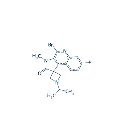 CC(C)N1CC2(C1)C(=O)N(C)c1c(Br)nc3cc(F)ccc3c12